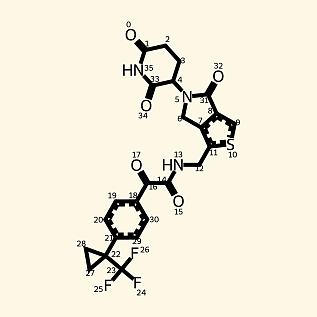 O=C1CCC(N2Cc3c(csc3CNC(=O)C(=O)c3ccc(C4(C(F)(F)F)CC4)cc3)C2=O)C(=O)N1